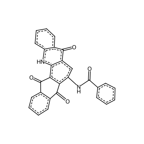 O=C(Nc1cc2c(=O)c3ccccc3[nH]c2c2c1C(=O)c1ccccc1C2=O)c1ccccc1